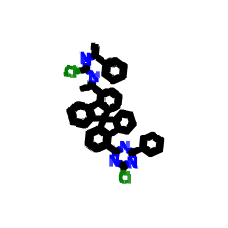 C=C(/N=C(Cl)\N=C(/C)c1cccc2c1-c1ccccc1C21c2ccccc2-c2c(-c3nc(Cl)nc(-c4ccccc4)n3)cccc21)c1ccccc1